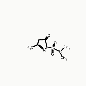 CC1=NN(S(=O)(=O)N(C)C)C(=O)C1